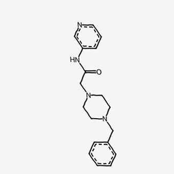 O=C(CN1CCN(Cc2ccccc2)CC1)Nc1cccnc1